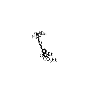 CCOC(=O)c1cn(CC)c2ccc(CCCOCCNC(=O)OC(C)(C)C)cc2c1=O